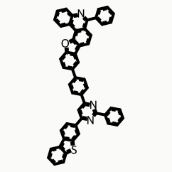 c1ccc(-c2nc(-c3ccc(-c4ccc5oc6c(ccc7c(-c8ccccc8)nc8ccccc8c76)c5c4)cc3)cc(-c3ccc4c(c3)sc3ccccc34)n2)cc1